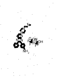 CN(C)CCN1CCN(c2ccc3nc(-c4ccccc4)c(-c4ccc(CN)cc4)nc3n2)CC1.O=C(O)C(F)(F)F.O=C(O)C(F)(F)F